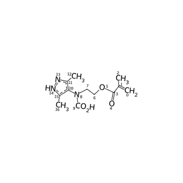 C=C(C)C(=O)OCCN(C(=O)O)c1c(C)n[nH]c1C